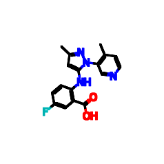 Cc1cc(Nc2ccc(F)cc2C(=O)O)n(-c2cnccc2C)n1